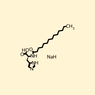 CCCCCCCCCCCCCC(=O)N[C@@H](Cc1cnc[nH]1)C(=O)O.[NaH]